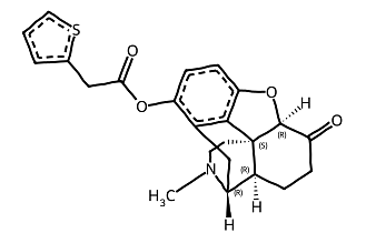 CN1CC[C@@]23c4c5ccc(OC(=O)Cc6cccs6)c4C[C@@H]1[C@@H]2CCC(=O)[C@@H]3O5